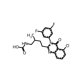 CC(CCc1nc2cccc(Cl)c2c(=O)n1-c1cc(F)cc(F)c1)CNC(=O)O